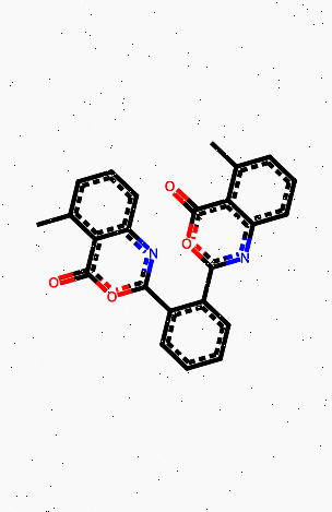 Cc1cccc2nc(-c3ccccc3-c3nc4cccc(C)c4c(=O)o3)oc(=O)c12